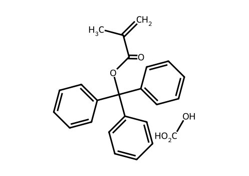 C=C(C)C(=O)OC(c1ccccc1)(c1ccccc1)c1ccccc1.O=C(O)O